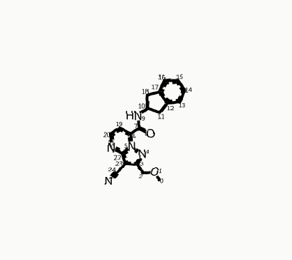 COCc1nn2c(C(=O)NC3Cc4ccccc4C3)ccnc2c1C#N